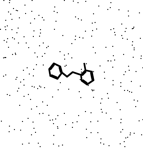 Cc1[c]cccc1CCc1ccccc1